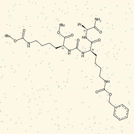 CC(C)[C@H](NC(=O)[C@@H](CCCCNC(=O)OCc1ccccc1)NC(=O)N[C@@H](CCCCNC(=O)OC(C)(C)C)C(=O)OC(C)(C)C)C(N)=O